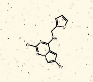 Clc1nc(NCc2ccco2)c2cc(Br)cn2n1